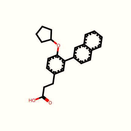 O=C(O)CCc1ccc(OC2CCCC2)c(-c2ccc3ccccc3c2)c1